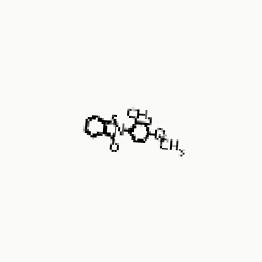 COc1ccc(-n2sc3ccccc3c2=O)c(C)c1